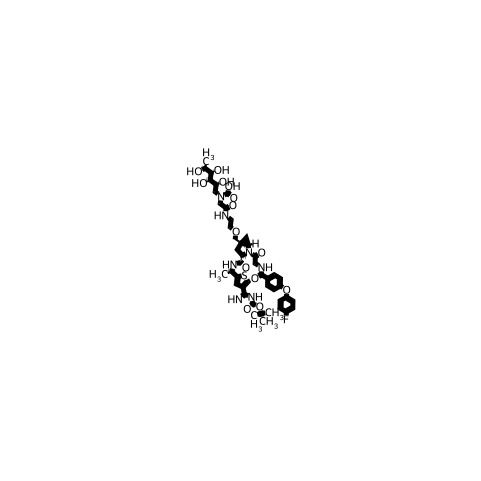 C[C@H](O)[C@H](O)[C@@H](O)[C@@H](O)CN(CC(=O)NCCOC[C@@]12C[C@@H]1N(C(=O)CNC(=O)c1ccc(Oc3ccc(F)cc3)cc1)[C@H](C(=O)N[C@H](C)c1cc(C(=N)NC(=O)OC(C)(C)C)cs1)C2)C(=O)O